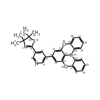 CC1(C)N=C(c2cncc(-c3cc4c5c(c3)Oc3ccccc3B5c3ccccc3O4)c2)SC1(C)C